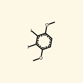 COc1ccc(OC)c(I)c1I